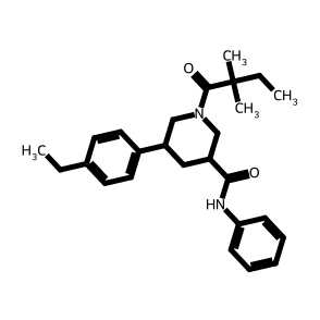 CCc1ccc(C2CC(C(=O)Nc3ccccc3)CN(C(=O)C(C)(C)CC)C2)cc1